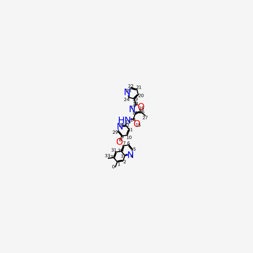 Cc1cc2nccc(Oc3ccc(NC(=O)c4nc(-c5cccnc5)oc4C)nc3)c2cc1C